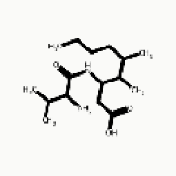 CCCCC(C)C(C)C(CC(=O)O)NC(=O)C(N)C(C)C